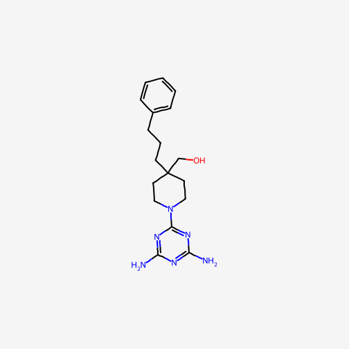 Nc1nc(N)nc(N2CCC(CO)(CCCc3ccccc3)CC2)n1